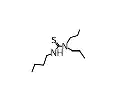 CCCCNC(=S)N(CCC)CCC